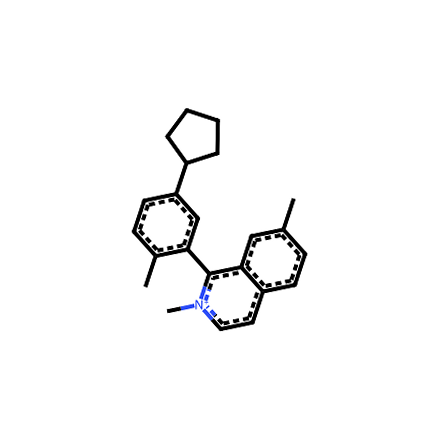 Cc1ccc2cc[n+](C)c(-c3cc(C4CCCC4)ccc3C)c2c1